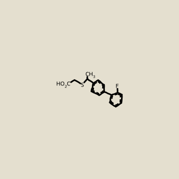 CC(SCC(=O)O)c1ccc(-c2ccccc2F)cc1